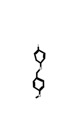 COc1ccc(COC2C=CC(I)=CC2)cc1